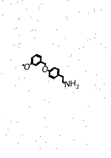 COc1cccc(COc2ccc(CCN)cc2)c1